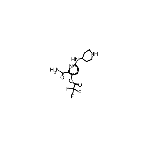 NC(=O)c1nc(NC2CCNCC2)ccc1OC(=O)C(F)(F)F